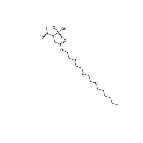 CCCCCCOCCOCCOCCOC(=O)CC(C(C)=O)S(=O)(=O)O